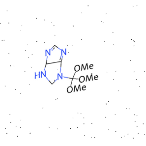 COC(OC)(OC)N1CNC2N=CN=C21